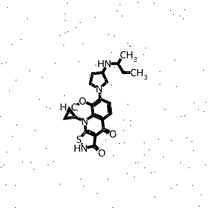 CCC(C)NC1CCN(c2ccc3c(=O)c4c(=O)[nH]sc4n(C4CC4)c3c2OC)C1